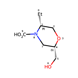 CC[C@@H]1CO[C@H](CO)CN1C(=O)O